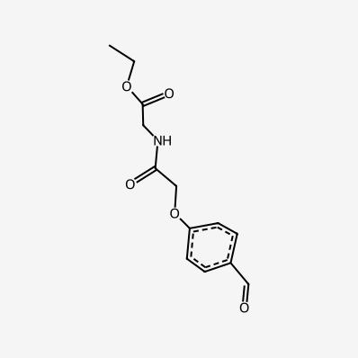 CCOC(=O)CNC(=O)COc1ccc(C=O)cc1